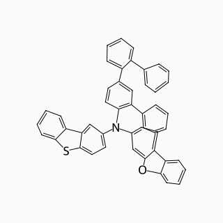 c1ccc(-c2ccccc2-c2ccc(N(c3ccc4c(c3)oc3ccccc34)c3ccc4sc5ccccc5c4c3)c(-c3ccccc3)c2)cc1